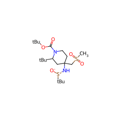 CC(C)(C)OC(=O)N1CCC(CS(C)(=O)=O)(N[S+]([O-])C(C)(C)C)CC1C(C)(C)C